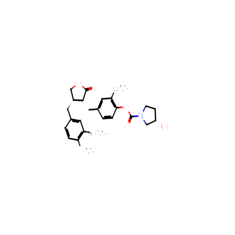 COc1ccc(C[C@H]2COC(=O)[C@@H]2Cc2ccc(OC(=O)N3CC[C@H](O)C3)c(OC)c2)cc1OC